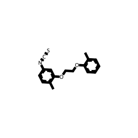 Cc1ccccc1OCCOc1cc(N=C=S)ccc1C